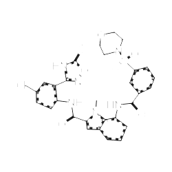 Cn1c(C(=O)Nc2ccc(Cl)cc2-c2noc(=O)[nH]2)cc2cccc(NC(=O)c3cccc(S(=O)(=O)N4CCOCC4)c3)c21